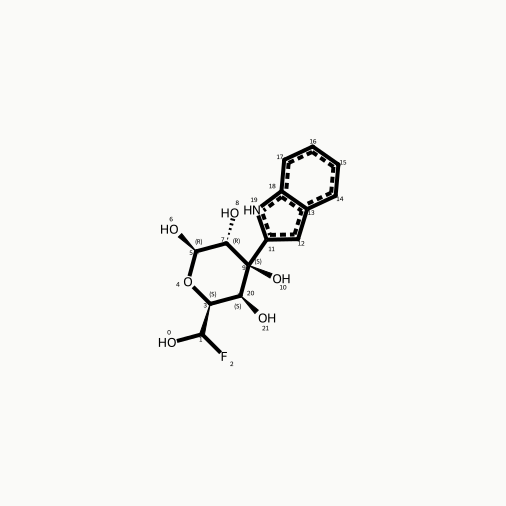 OC(F)[C@H]1O[C@@H](O)[C@H](O)[C@](O)(c2cc3ccccc3[nH]2)[C@H]1O